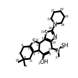 C=C(O)C1C2=C(CCC(C)(C)C2)SC1c1sc(N2CCCCC2)nc1CN(C)S